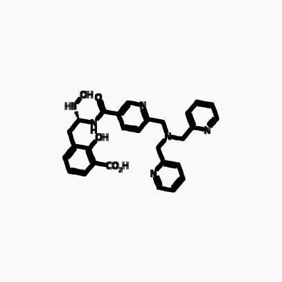 O=C(N[C@@H](BO)Cc1cccc(C(=O)O)c1O)c1ccc(CN(Cc2ccccn2)Cc2ccccn2)nc1